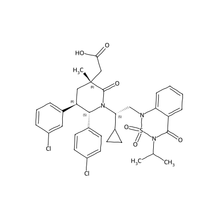 CC(C)N1C(=O)c2ccccc2N(C[C@H](C2CC2)N2C(=O)[C@@](C)(CC(=O)O)C[C@H](c3cccc(Cl)c3)[C@H]2c2ccc(Cl)cc2)S1(=O)=O